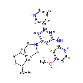 CC(=O)NC1CCCC2(CCN(c3cc(Nc4cc(OC(F)(F)F)ccn4)nc(-c4cccnc4)n3)CC2)C1